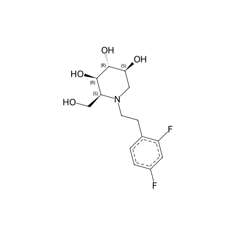 OC[C@H]1[C@@H](O)[C@H](O)[C@@H](O)CN1CCc1ccc(F)cc1F